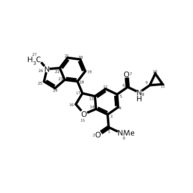 CNC(=O)c1cc(C(=O)NC2CC2)cc2c1OCC2c1cccc2c1ccn2C